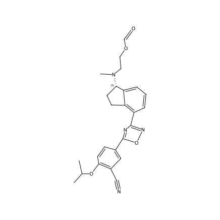 CC(C)Oc1ccc(-c2nc(-c3cccc4c3CC[C@@H]4N(C)CCOC=O)no2)cc1C#N